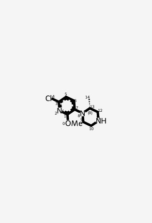 COc1nc(Cl)ccc1N1CCNC[C@H]1C